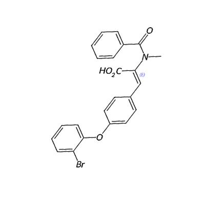 CN(C(=O)c1ccccc1)/C(=C/c1ccc(Oc2ccccc2Br)cc1)C(=O)O